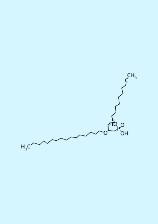 CCCCCCCCCCCCCCCCOC(CSCCCCCCCCCC)CP(=O)(O)O